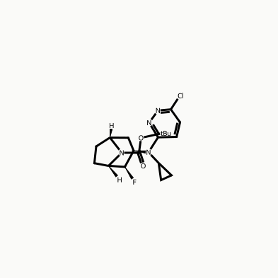 CC(C)(C)OC(=O)N1[C@@H]2CC[C@H]1[C@H](F)[C@H](N(c1ccc(Cl)nn1)C1CC1)C2